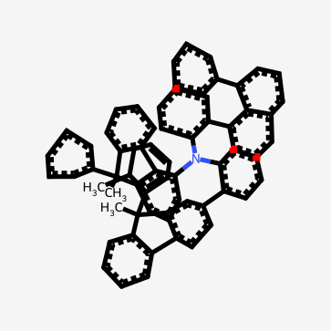 CC1CC=CC=C1C1(C)c2ccccc2-c2ccc(-c3ccccc3N(c3ccccc3-c3cccc4cccc(-c5ccccc5)c34)c3cccc4c3-c3ccccc3C4(C)c3ccccc3)cc21